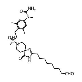 Cc1cc(N(C)C(N)=O)cc(C)c1CC[SH](C)(=O)N1CCC2(CC1)N=C(CCCCCCCCC=O)NC2=O